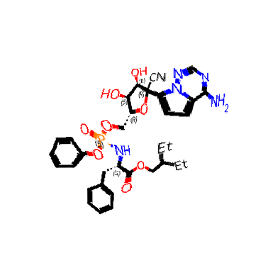 CCC(CC)COC(=O)[C@H](Cc1ccccc1)N[P@](=O)(OC[C@H]1O[C@@](C#N)(c2ccc3c(N)ncnn23)[C@H](O)[C@@H]1O)Oc1ccccc1